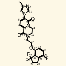 Cc1cn(-c2ccc3n(c2=O)CCN(CCOc2ccc(F)c4c2C(F)(F)CC4)C3=O)cn1